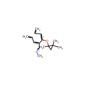 C=C/C=C(/C=N/C)C(=C/C=C)\OC1(C)CC1(C)C